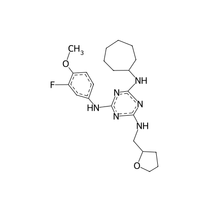 COc1ccc(Nc2nc(NCC3CCCO3)nc(NC3CCCCCC3)n2)cc1F